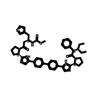 CCN(CC)[C@@H](C(=O)N1CCC[C@H]1c1ncc(-c2ccc(-c3ccc(-c4cnc([C@@H]5CCCN5C(=O)C[C@@H](Cc5ccsc5)NC(=O)OC)[nH]4)cc3)cc2)[nH]1)c1ccccc1